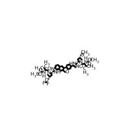 COC[C@H]1C[C@@H](c2ncc(-c3ccc4c(c3)OCc3cc5c(ccc6nc([C@@H]7C[C@H](COC(F)F)CN7C(=O)[C@@H](NC(=O)OC)C(C)C)[nH]c65)cc3-4)[nH]2)N(C(=O)[C@@H](NC(=O)OC)C(C)C)C1